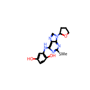 CSc1nc(Nc2cc(O)ccc2O)c2ncn(C3CCCO3)c2n1